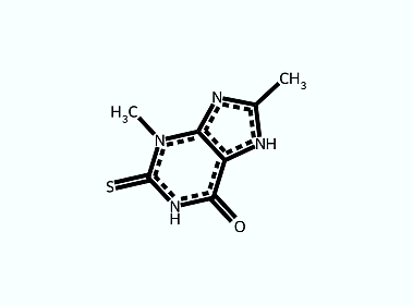 Cc1nc2c([nH]1)c(=O)[nH]c(=S)n2C